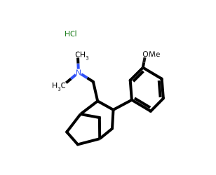 COc1cccc(C2CC3CCC(C3)C2CN(C)C)c1.Cl